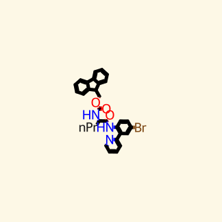 CCCC(NC(=O)OCC1c2ccccc2-c2ccccc21)C(=O)Nc1ccc(Br)cc1-c1ccccn1